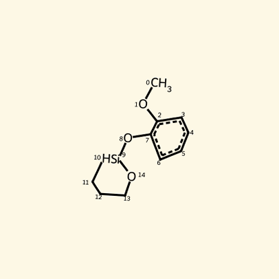 COc1ccccc1O[SiH]1CCCCO1